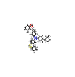 c1ccc(-c2ccc(N(c3ccc(-c4coc5ccccc45)cc3)c3ccc4sc5ccccc5c4c3)cc2)cc1